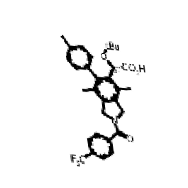 Cc1ccc(-c2c(C)c3c(c(C)c2[C@H](OC(C)(C)C)C(=O)O)CN(C(=O)c2ccc(C(F)(F)F)cc2)C3)cc1